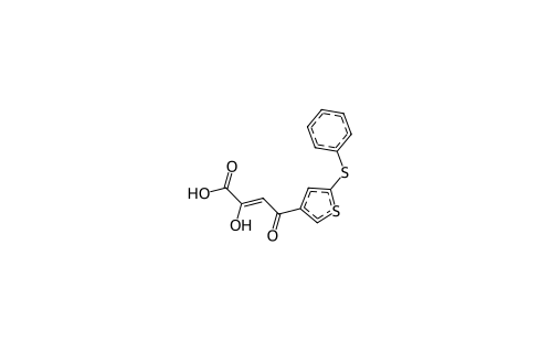 O=C(O)C(O)=CC(=O)c1csc(Sc2ccccc2)c1